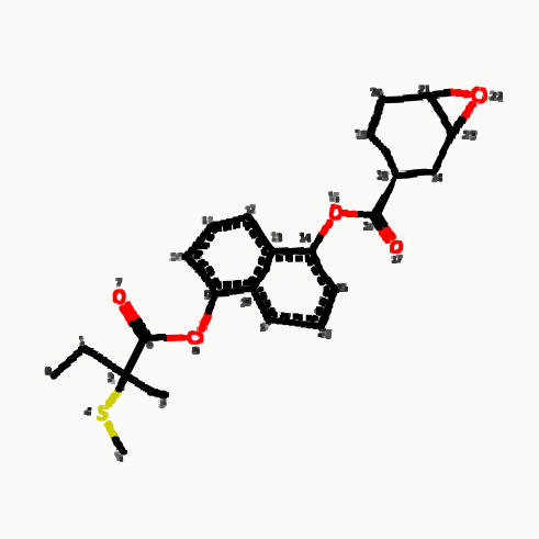 CCC(C)(SC)C(=O)Oc1cccc2c(OC(=O)[C@H]3CCC4OC4C3)cccc12